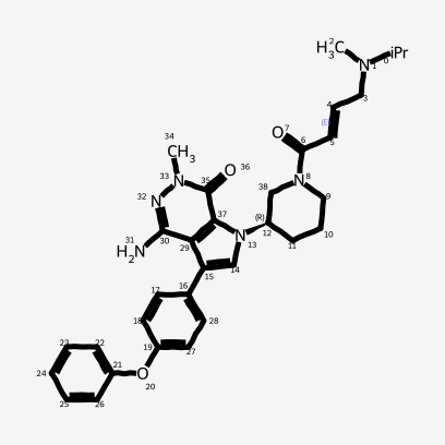 CC(C)N(C)C/C=C/C(=O)N1CCC[C@@H](n2cc(-c3ccc(Oc4ccccc4)cc3)c3c(N)nn(C)c(=O)c32)C1